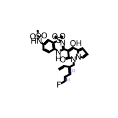 C=C/C(=C\C=C\F)Cn1c(=O)c(C2=NS(=O)(=O)c3cc(NS(C)(=O)=O)ccc3N2)c(O)c2cccn21